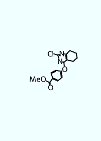 COC(=O)c1ccc(Oc2nc(Cl)nc3c2CCCC3)cc1